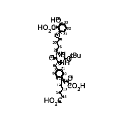 CC(C)(C)OC(=O)N[C@@H](Cc1ccc(N(CCCCC(=O)O)C(=O)C(=O)O)cc1)C(=O)NCCCCOc1cccc(O)c1C(=O)O